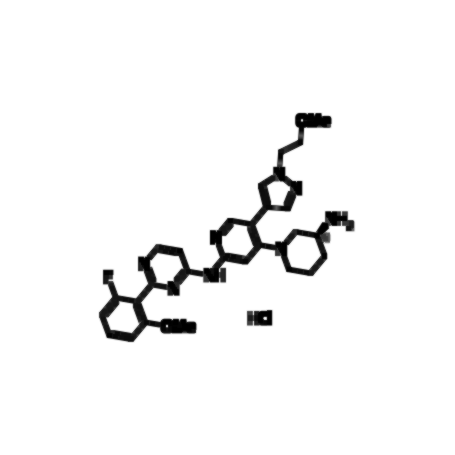 COCCn1cc(-c2cnc(Nc3ccnc(-c4c(F)cccc4OC)n3)cc2N2CCC[C@H](N)C2)cn1.Cl